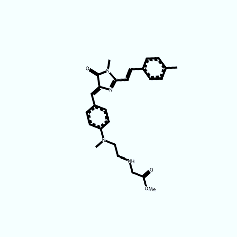 COC(=O)CNCCN(C)c1ccc(/C=C2N=C(/C=C/c3ccc(C)cc3)N(C)C\2=O)cc1